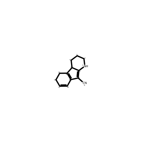 N#CC1=C2NCCCC2C2=C1C=CCC2